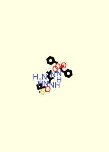 CC1(C)C(N)=C(C(=N)NC(=O)C2(S(C)(C)C)CCC2)CN1C(=O)NC(C(=O)OCc1ccccc1)c1ccccc1